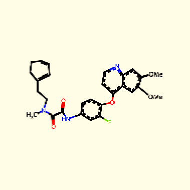 COc1cc2nccc(Oc3ccc(NC(=O)C(=O)N(C)CCC4=CC=CCC4)cc3F)c2cc1OC